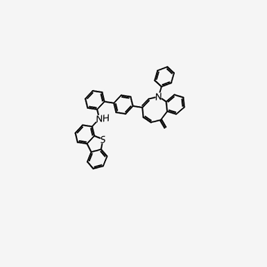 C=C1/C=C\C(c2ccc(-c3ccccc3Nc3cccc4c3sc3ccccc34)cc2)=C/N(c2ccccc2)c2ccccc21